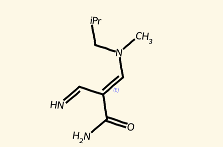 CC(C)CN(C)/C=C(\C=N)C(N)=O